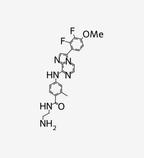 COc1ccc(-c2cnc3c(Nc4ccc(C(=O)NCCN)c(C)c4)nccn23)c(F)c1F